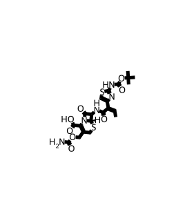 C/C=C(\C(=O)NC1C(=O)N2C(C(=O)O)=C(COC(N)=O)CS[C@@H]12)c1csc(NC(=O)OC(C)(C)C)n1